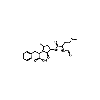 CSCCC(NC=O)C(=O)NC1CC(C)N(C(Cc2ccccc2)C(=O)O)C1=O